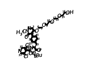 Cn1ncc(OCCOCCOCCOCCO)c(-c2ccc(C[C@H](NC(=O)c3c(Cl)cncc3Cl)C(=O)OC(C)(C)C)cc2)c1=O